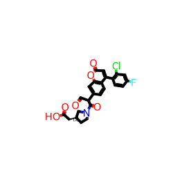 O=CC(C(=O)N1CC[C@@H](CC(=O)O)C1)c1ccc2c(-c3ccc(F)cc3Cl)cc(=O)oc2c1